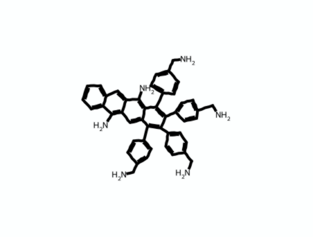 NCc1ccc(-c2c(-c3ccc(CN)cc3)c(-c3ccc(CN)cc3)c3c(N)c4cc5ccccc5c(N)c4cc3c2-c2ccc(CN)cc2)cc1